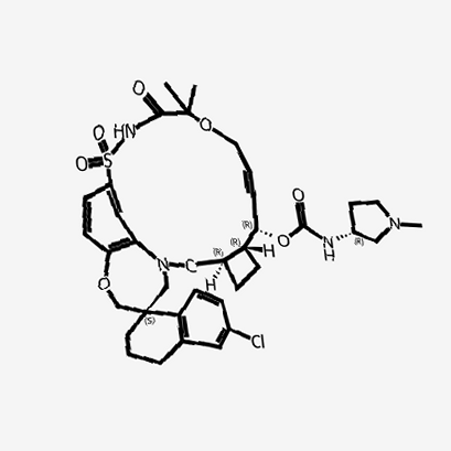 CN1CC[C@@H](NC(=O)O[C@H]2C=CCOC(C)(C)C(=O)NS(=O)(=O)c3ccc4c(c3)N(C[C@@H]3CC[C@H]32)C[C@@]2(CCCc3cc(Cl)ccc32)CO4)C1